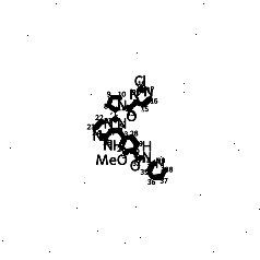 COc1cc(-c2nc([C@@H]3CCCN3C(=O)c3ccnc(Cl)n3)n3ccnc(N)c23)ccc1C(=O)Nc1ccccn1